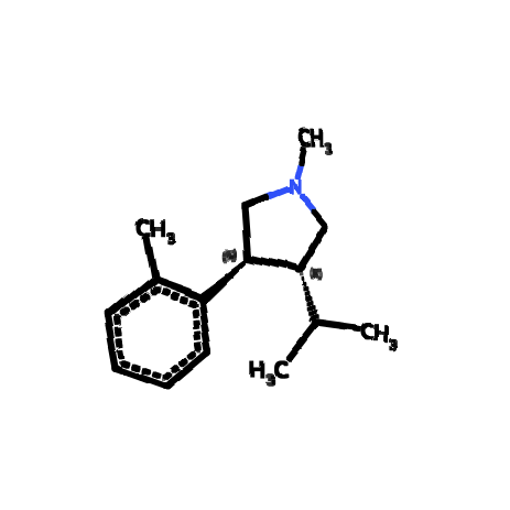 Cc1ccccc1[C@H]1CN(C)C[C@@H]1C(C)C